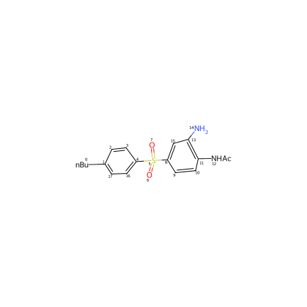 CCCCc1ccc(S(=O)(=O)c2ccc(NC(C)=O)c(N)c2)cc1